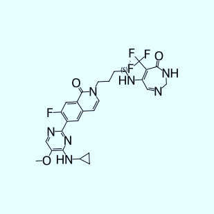 COc1cnc(-c2cc3ccn(CCC[C@H](C)NC4=C(C(F)(F)F)C(=O)NCN=C4)c(=O)c3cc2F)nc1NC1CC1